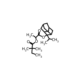 CCC(C)(C)C(=O)OC(C)C(=O)OC1(C(C)C)C2CC3CC(C2)CC1C3